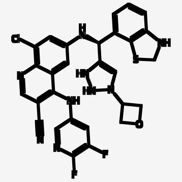 N#Cc1cnc2c(Cl)cc(N[C@H](C3=CN(C4COC4)NN3)c3cccc4c3SCN4)cc2c1Nc1cnc(F)c(F)c1